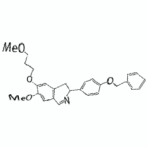 COCCCOc1cc2c(cc1OC)C=NC(c1ccc(OCc3ccccc3)cc1)C2